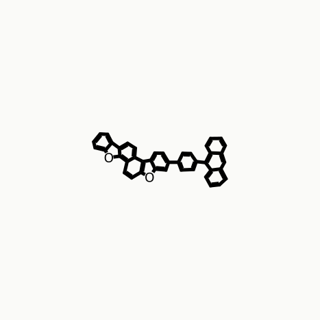 c1ccc2c(-c3ccc(-c4ccc5c(c4)oc4ccc6c(ccc7c8ccccc8oc76)c45)cc3)c3ccccc3cc2c1